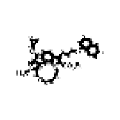 CCOC(=O)c1c(CCCOc2cccc3ccccc23)c2cccc3c2n1CCCCOCc1c-3c(COC2CC2)nn1C